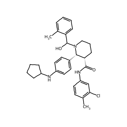 Cc1ccc(NC(=O)[C@H]2CCCN(C(O)c3ccccc3C)[C@H]2c2ccc(NC3CCCC3)cc2)cc1Cl